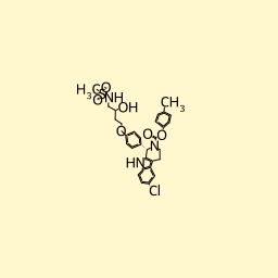 Cc1ccc(OC(=O)N2CCc3c([nH]c4ccc(Cl)cc34)[C@@H]2c2ccc(OCCC(O)CNS(C)(=O)=O)cc2)cc1